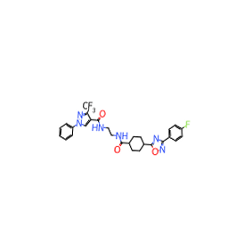 O=C(NCCNC(=O)C1CCC(c2nc(-c3ccc(F)cc3)no2)CC1)c1cn(-c2ccccc2)nc1C(F)(F)F